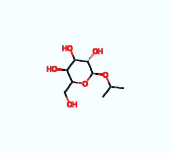 CC(C)O[C@H]1OC(CO)[C@@H](O)C(O)[C@@H]1O